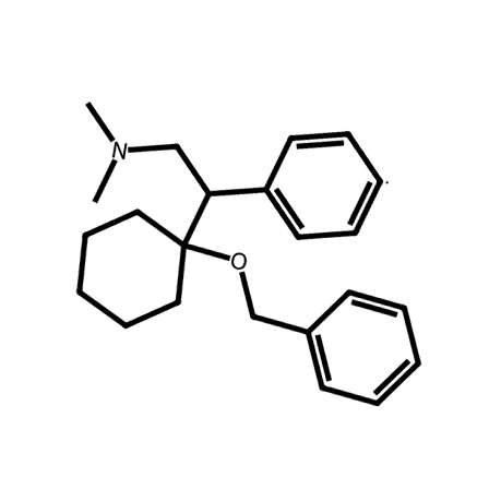 CN(C)CC(c1cc[c]cc1)C1(OCc2ccccc2)CCCCC1